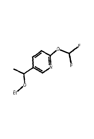 CCOC(C)c1ccc(OC(F)F)nc1